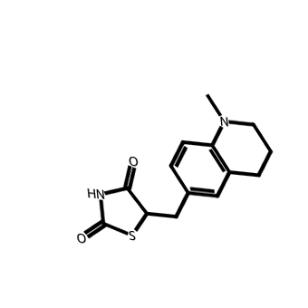 CN1CCCc2cc(CC3SC(=O)NC3=O)ccc21